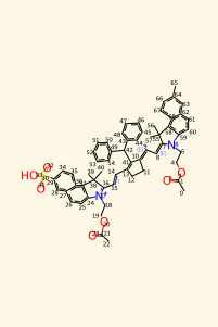 CC(=O)OCCN1/C(=C/C=C2\CCC(/C=C/C3=[N+](CCOC(C)=O)c4ccc5cc(S(=O)(=O)O)ccc5c4C3(C)C)=C2C(c2ccccc2)c2ccccc2)C(C)(C)c2c1ccc1cc(C)ccc21